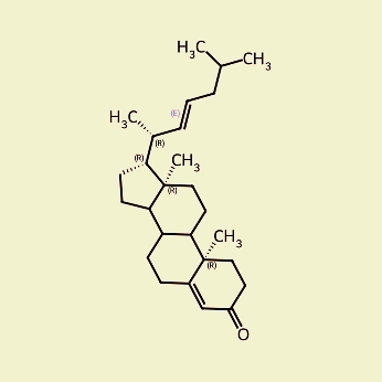 CC(C)C/C=C/[C@@H](C)[C@H]1CCC2C3CCC4=CC(=O)CC[C@]4(C)C3CC[C@@]21C